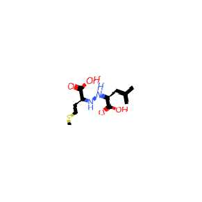 CSCC[C@H](NN[C@@H](CC(C)C)C(=O)O)C(=O)O